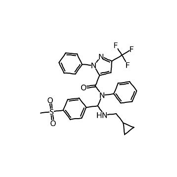 CS(=O)(=O)c1ccc(C(NCC2CC2)N(C(=O)c2cc(C(F)(F)F)nn2-c2ccccc2)c2ccccc2)cc1